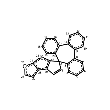 C1=CC2(c3ccccc3-c3ccccc3-c3ccccc32)c2ccc3occc3c21